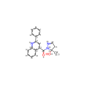 O=C(c1cc(-c2ccccc2)nc2ccccc12)N1N=CCC1(O)C(F)(F)F